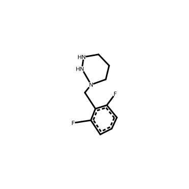 Fc1cccc(F)c1CN1CCCNN1